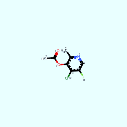 CCCC(=O)Oc1c(C)ncc(F)c1Cl